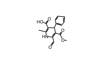 COC(=O)C1=C(C=O)NC(C)=C(C(=O)O)C1c1ccccc1